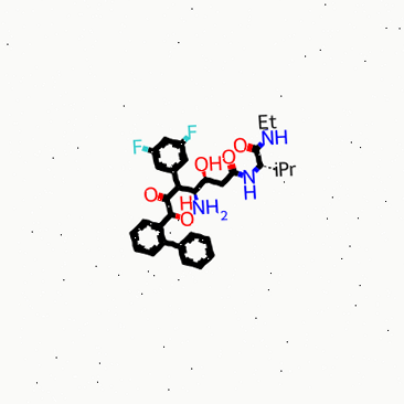 CCNC(=O)[C@@H](NC(=O)C[C@H](O)[C@@H](N)C(C(=O)C(O)c1ccccc1-c1ccccc1)c1cc(F)cc(F)c1)C(C)C